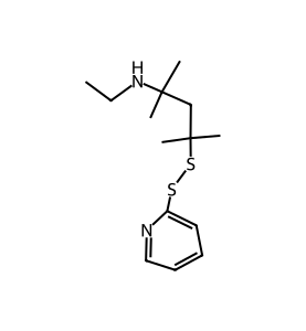 CCNC(C)(C)CC(C)(C)SSc1ccccn1